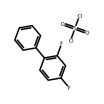 Fc1ccc(-c2ccccc2)c(F)c1.O=S(=O)(Cl)Cl